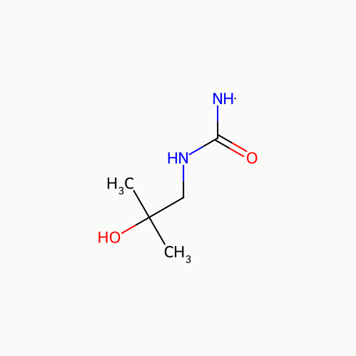 CC(C)(O)CNC([NH])=O